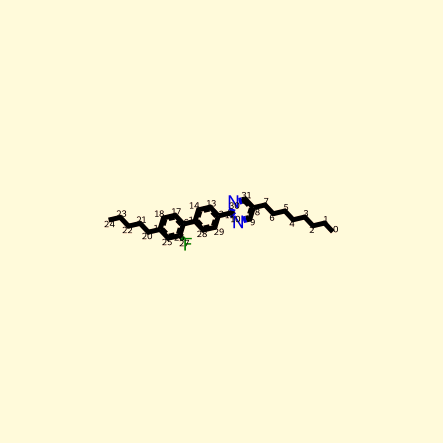 CCCCCCCCc1cnc(-c2ccc(-c3ccc(CCCCC)cc3F)cc2)nc1